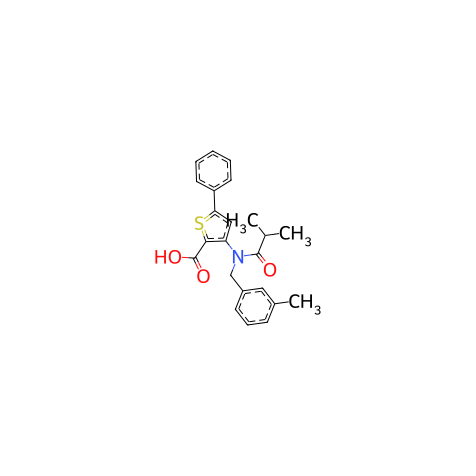 Cc1cccc(CN(C(=O)C(C)C)c2cc(-c3ccccc3)sc2C(=O)O)c1